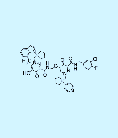 Cc1cccc2ccn(C3(Cn4cc(O)c(=O)c(C(=O)NCOc5cn(CC6(c7ccncc7)CCCC6)nc(C(=O)NCc6ccc(F)c(Cl)c6)c5=O)n4)CCCC3)c12